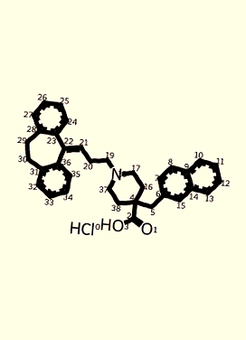 Cl.O=C(O)C1(Cc2ccc3ccccc3c2)CCN(CCC=C2c3ccccc3CCc3ccccc32)CC1